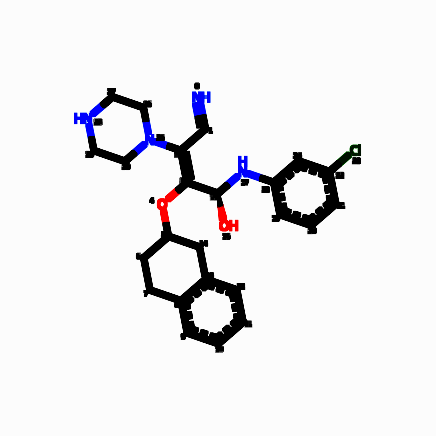 N=C/C(=C(/OC1CCc2ccccc2C1)[C@H](O)Nc1cccc(Cl)c1)N1CCNCC1